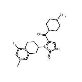 CN1CCN(C(=O)c2c[nH]c(=S)n2C2CCc3c(F)cc(F)cc3C2)CC1